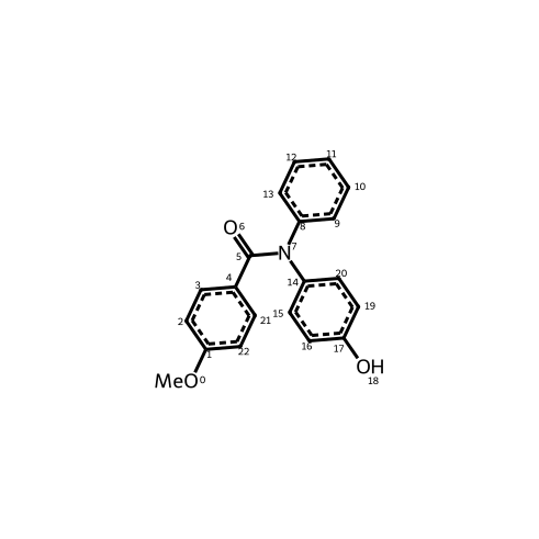 COc1ccc(C(=O)N(c2ccccc2)c2ccc(O)cc2)cc1